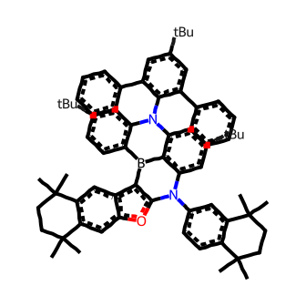 CC(C)(C)c1cc(-c2ccccc2)c(N2c3cc(C(C)(C)C)ccc3B3c4c(cc(C(C)(C)C)cc42)N(c2ccc4c(c2)C(C)(C)CCC4(C)C)c2oc4cc5c(cc4c23)C(C)(C)CCC5(C)C)c(-c2ccccc2)c1